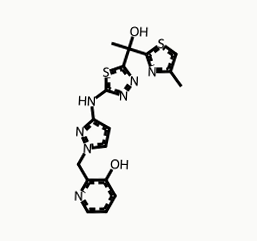 Cc1csc(C(C)(O)c2nnc(Nc3ccn(Cc4ncccc4O)n3)s2)n1